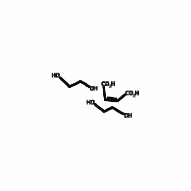 O=C(O)/C=C\C(=O)O.OCCO.OCCO